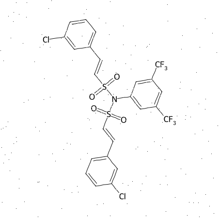 O=S(=O)(/C=C/c1cccc(Cl)c1)N(c1cc(C(F)(F)F)cc(C(F)(F)F)c1)S(=O)(=O)/C=C/c1cccc(Cl)c1